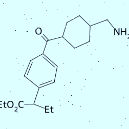 CCOC(=O)C(CC)c1ccc(C(=O)C2CCC(CN)CC2)cc1